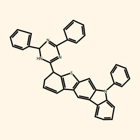 C1=Cc2c(sc3cc4c(cc23)c2ccccc2n4-c2ccccc2)C(C2=NC(c3ccccc3)=NC(c3ccccc3)N2)C1